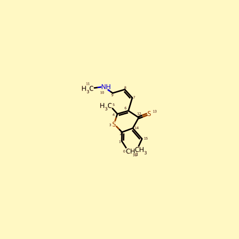 C/C=c1/sc(C)c(/C=C\CNC)c(=S)/c1=C/C